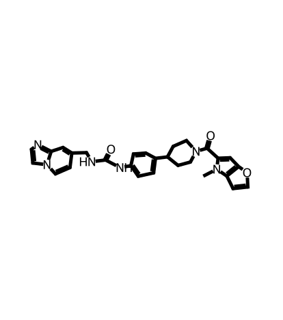 Cn1c(C(=O)N2CCC(c3ccc(NC(=O)NCc4ccn5ccnc5c4)cc3)CC2)cc2occc21